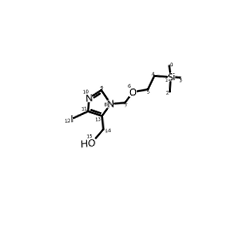 C[Si](C)(C)CCOCn1cnc(I)c1CO